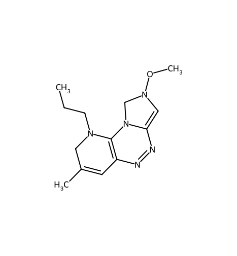 CCCN1CC(C)=CC2=C1N1CN(OC)C=C1N=N2